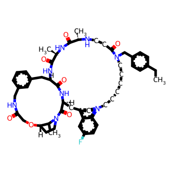 CCc1ccc(CN2CCCCCCn3cc(c4cc(F)ccc43)C[C@@H]3NC(=O)[C@H](Cc4cccc(c4)CNC(=O)CO[C@H]4CCN(C3=O)C4C)NC(=O)[C@@H](C)NC(=O)[C@H](C)NCCC2=O)cc1